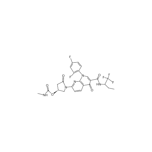 CCC(NC(=O)c1cn(-c2ccc(F)cc2F)c2nc(N3C[C@@H](OC(=O)NC)CC3=O)ccc2c1=O)C(F)(F)F